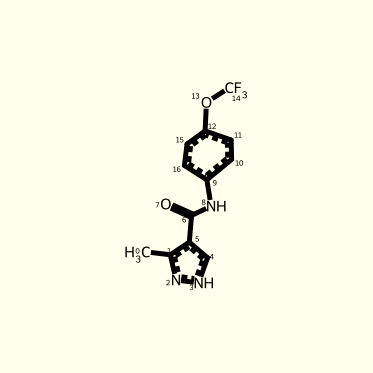 Cc1n[nH]cc1C(=O)Nc1ccc(OC(F)(F)F)cc1